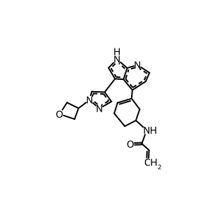 C=CC(=O)NC1CCC=C(c2ccnc3[nH]cc(-c4cnn(C5COC5)c4)c23)C1